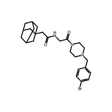 O=C(CC12CC3CC(CC(C3)C1)C2)NCC(=O)N1CCN(Cc2ccc(Br)cc2)CC1